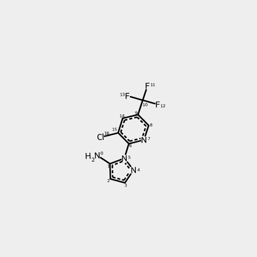 Nc1ccnn1-c1ncc(C(F)(F)F)cc1Cl